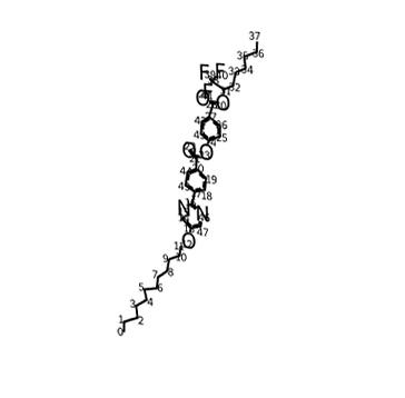 CCCCCCCCCCCCOc1cnc(-c2ccc(C(=O)Oc3ccc(C(=O)OC(CCCCCC)C(F)(F)F)cc3)cc2)nc1